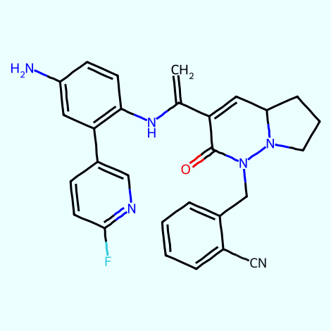 C=C(Nc1ccc(N)cc1-c1ccc(F)nc1)C1=CC2CCCN2N(Cc2ccccc2C#N)C1=O